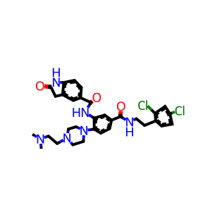 CN(C)CCN1CCN(c2ccc(C(=O)NCCc3ccc(Cl)cc3Cl)cc2NC(=O)c2ccc3c(c2)CC(=O)N3)CC1